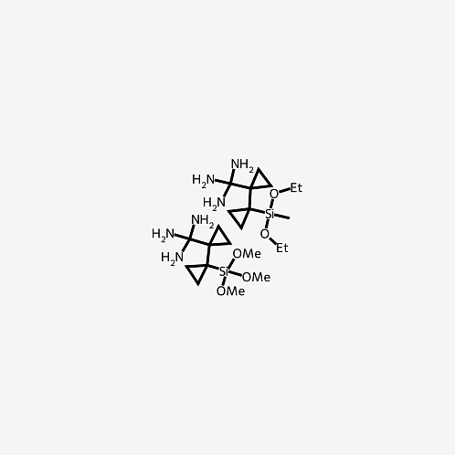 CCO[Si](C)(OCC)C1(C2(C(N)(N)N)CC2)CC1.CO[Si](OC)(OC)C1(C2(C(N)(N)N)CC2)CC1